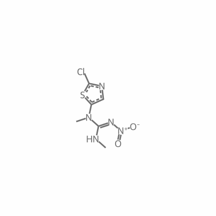 CNC(=N[N+](=O)[O-])N(C)c1cnc(Cl)s1